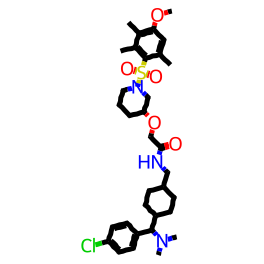 COc1cc(C)c(S(=O)(=O)N2CCCC(OCC(=O)NCC3CCC(C(c4ccc(Cl)cc4)N(C)C)CC3)C2)c(C)c1C